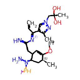 C=C/C(=N\C(=N)CC1C=C(OC(C)C)[C@@H](C)CC1N(N)PI)c1cn(CC(C)(O)O)nc1C